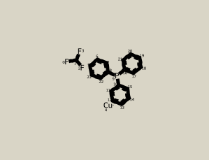 FC(F)F.[Cu].c1ccc(P(c2ccccc2)c2ccccc2)cc1